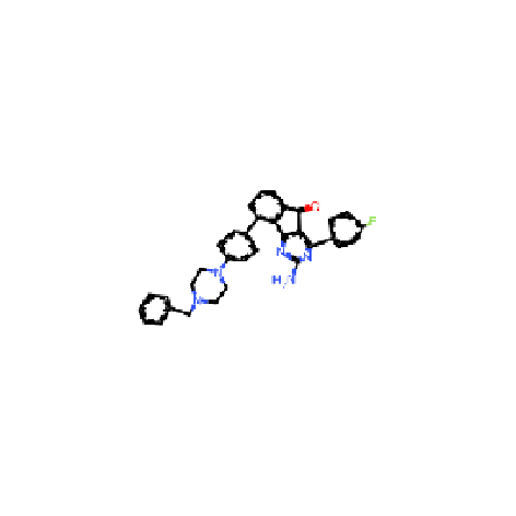 Nc1nc(-c2ccc(F)cc2)c2c(n1)-c1c(cccc1-c1ccc(N3CCN(Cc4ccccc4)CC3)cc1)C2=O